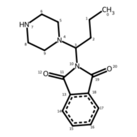 CCCC(N1CCNCC1)N1C(=O)c2ccccc2C1=O